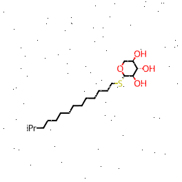 CC(C)CCCCCCCCCCCCS[C@@H]1OC[C@@H](O)[C@H](O)[C@H]1O